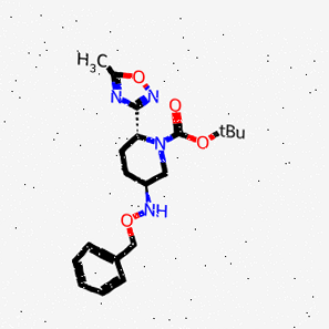 Cc1nc([C@H]2CC[C@H](NOCc3ccccc3)CN2C(=O)OC(C)(C)C)no1